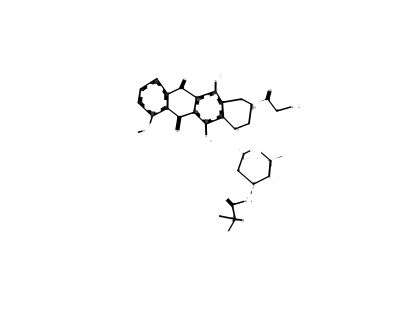 COc1cccc2c1C(=O)c1c(O)c3c(c(O)c1C2=O)C[C@@H](C(=O)CBr)C[C@@H]3O[C@H]1C[C@H](NC(=O)C(F)(F)F)[C@@H](O)[C@H](C)O1